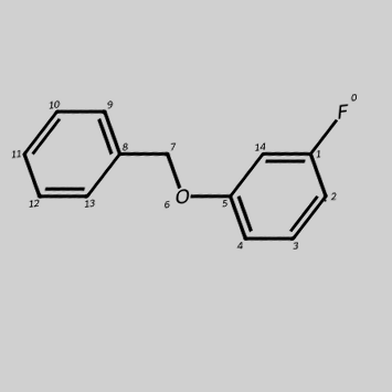 Fc1[c]ccc(OCc2ccccc2)c1